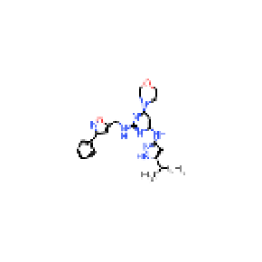 CC(C)c1cc(Nc2cc(N3CCOCC3)nc(NCc3cc(-c4ccccc4)no3)n2)n[nH]1